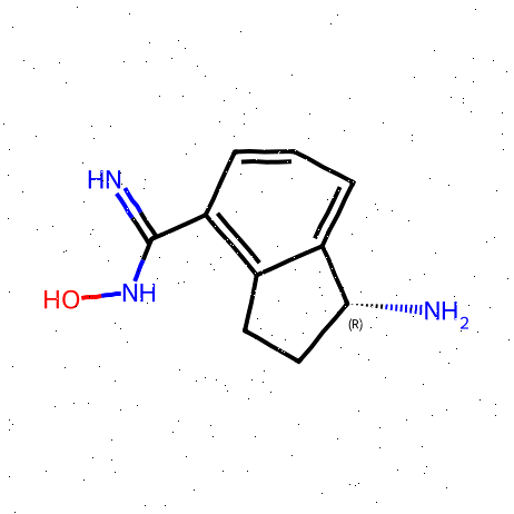 N=C(NO)c1cccc2c1CC[C@H]2N